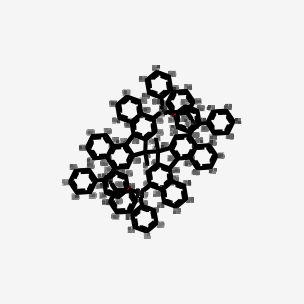 CC1(C2(C)c3cc(N(c4ccccc4)c4ccccc4)c4ccccc4c3-c3c2cc(N(c2ccccc2)c2ccccc2)c2ccccc32)c2cc(N(c3ccccc3)c3ccccc3)c3ccccc3c2-c2c1cc(N(c1ccccc1)c1ccccc1)c1ccccc21